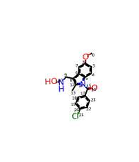 COc1ccc2c(c1)c(CNO)c(C)n2C(=O)c1ccc(Cl)cc1